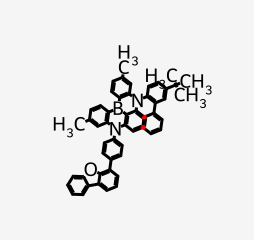 Cc1ccc2c(c1)N(c1ccc(-c3cccc4c3oc3ccccc34)cc1)c1cccc3c1B2c1ccc(C)cc1N3c1ccc(C(C)(C)C)cc1-c1ccccc1